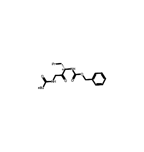 CCCCC(=O)NCC(=O)[C@H](CC(C)C)NC(=O)OCc1ccccc1